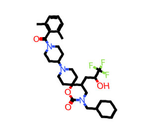 Cc1cccc(C)c1C(=O)N1CCC(N2CCC3(CC2)OC(=O)N(CC2CCCCC2)CC3CC(O)C(F)(F)F)CC1